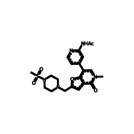 CC(=O)Nc1cc(-c2cn(C)c(=O)c3cc(CN4CCN(S(C)(=O)=O)CC4)oc23)ccn1